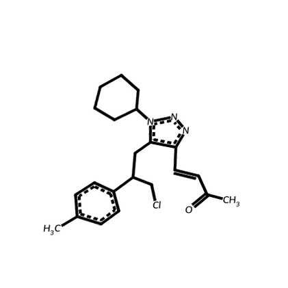 CC(=O)/C=C/c1nnn(C2CCCCC2)c1CC(CCl)c1ccc(C)cc1